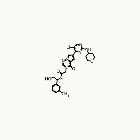 Cc1cccc(C(CO)NC(=O)Cn2cnn3cc(-c4nc(NC5CCOCC5)ncc4Cl)cc3c2=O)c1